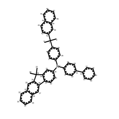 CC(C)(c1ccc(N(c2ccc(-c3ccccc3)cc2)c2ccc3c(c2)C(C)(C)c2cc4ccccc4cc2-3)cc1)c1ccc2ccccc2c1